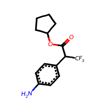 Nc1ccc(C(C(=O)OC2CCCC2)C(F)(F)F)cc1